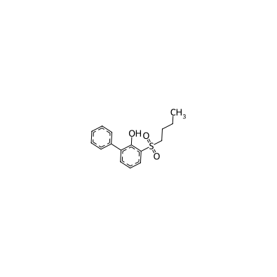 CCCCS(=O)(=O)c1cccc(-c2ccccc2)c1O